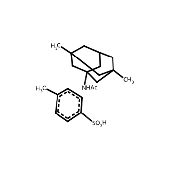 CC(=O)NC12CC3CC(C)(CC(C)(C3)C1)C2.Cc1ccc(S(=O)(=O)O)cc1